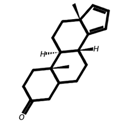 C[C@@]12C=CC=C1[C@@H]1CCC3CC(=O)CC[C@]3(C)[C@H]1CC2